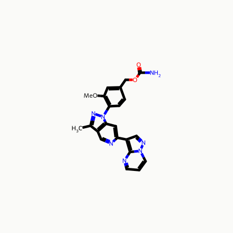 COc1cc(COC(N)=O)ccc1-n1nc(C)c2cnc(-c3cnn4cccnc34)cc21